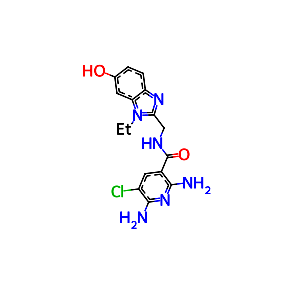 CCn1c(CNC(=O)c2cc(Cl)c(N)nc2N)nc2ccc(O)cc21